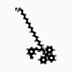 FC(F)(F)CCCCCCCCCCCCCCCCC[C@@H](COC(c1ccccc1)(c1ccccc1)c1ccccc1)OCc1cccc(Br)c1